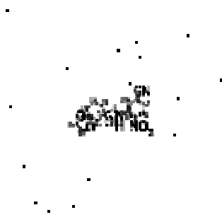 N#Cc1ccc([N+](=O)[O-])c(NCC2(O)CCCC3(C2)OCCO3)c1